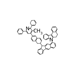 Cc1c(-c2ccc3c(c2)C=CC(C2c4ccccc4-c4cc5cccc(-n6c7c(c8ccccc86)-c6ccccc6CC7)c5cc42)C3)cc(-c2ccccc2)nc1C1=CC=CCC1